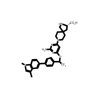 Cc1cn(C)c2ccc(-c3ccc(C(Oc4cc(N5CCC6(CC5)CN[C@H](C(=O)O)C6)nc(N)n4)C(F)(F)F)cc3)cc12